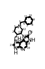 C[C@@H]1CCN(Cc2ccccc2)C[C@@H]1n1c(=O)[nH]c2cnc3[nH]cnc3c21